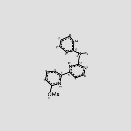 COc1cccc(-c2ccnc(N(C)c3ccccc3)n2)n1